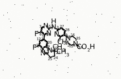 Cc1nc(Nc2ncc(F)c(-c3cc(F)c4nc5n(c4c3)C(C)(C)CC5)n2)ccc1N1CCN(C(=O)O)CC1